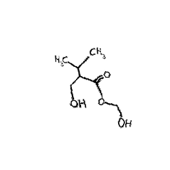 CC(C)C(CO)C(=O)OCO